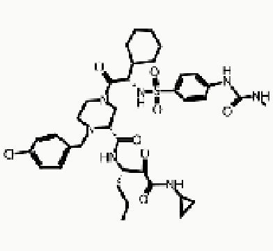 CCC[C@H](NC(=O)[C@H]1CN(C(=O)[C@@H](NS(=O)(=O)c2ccc(NC(=O)NC)cc2)C2CCCCC2)CCN1Cc1ccc(Cl)cc1)C(=O)C(=O)NC1CC1